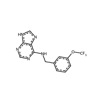 FC(F)(F)Oc1cccc(CNc2ncnc3[nH]cnc23)c1